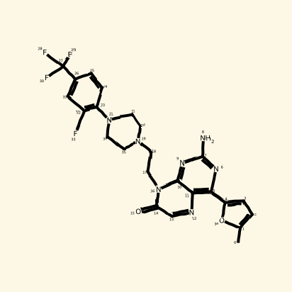 Cc1ccc(-c2nc(N)nc3c2ncc(=O)n3CCN2CCN(c3ccc(C(F)(F)F)cc3F)CC2)o1